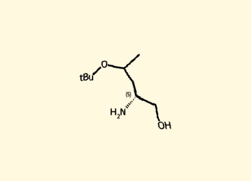 CC(OC(C)(C)C)[C@@H](N)CO